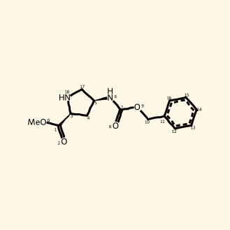 COC(=O)[C@@H]1C[C@H](NC(=O)OCc2ccccc2)CN1